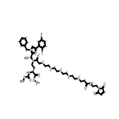 CC(C)(C)OC(=O)N[C@@H](CCN(C(=O)CSCCOCCOCCOCCOCCC(=O)NCCN1C(=O)C=CC1=O)[C@@H](c1nc(-c2cc(F)ccc2F)cn1Cc1ccccc1)C(C)(C)C)C(=O)OC(C)(C)C